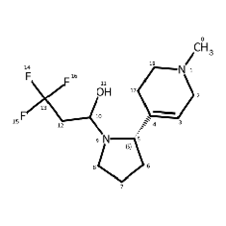 CN1CC=C([C@@H]2CCCN2C(O)CC(F)(F)F)CC1